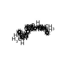 CC(Nc1ncnc(Nc2ccc(C=Cc3ccc(Nc4ncnc(NC(C)C(O)Nc5ccccc5)n4)cc3S(=O)(=O)O)c(S(=O)(=O)O)c2)n1)C(O)Nc1ccccc1